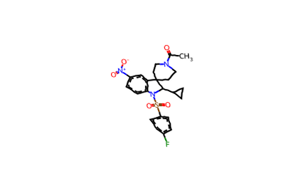 CC(=O)N1CCC2(CC1)c1cc([N+](=O)[O-])ccc1N(S(=O)(=O)c1ccc(F)cc1)C2C1CC1